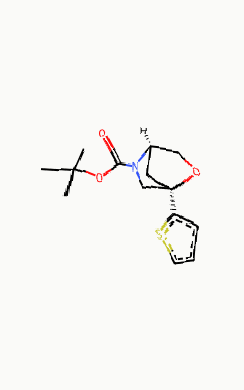 CC(C)(C)OC(=O)N1C[C@@]2(c3cccs3)C[C@@H]1CO2